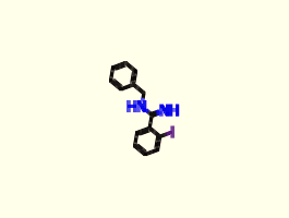 N=C(NCc1ccccc1)c1ccccc1I